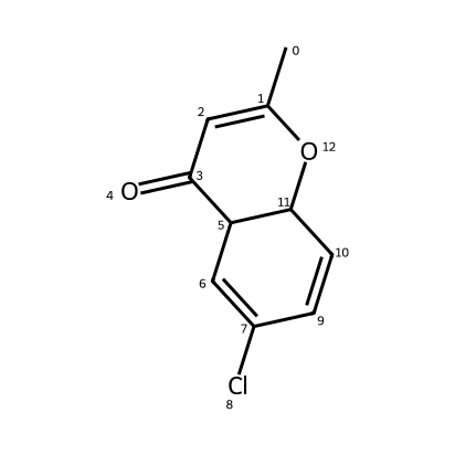 CC1=CC(=O)C2C=C(Cl)C=CC2O1